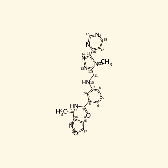 CC(NC(=O)c1cccc(NCc2nnc(-c3ccncn3)n2C)c1)c1ccon1